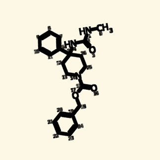 CNC(=O)NC1(c2ccccc2)CCN(C(=O)OCc2ccccc2)CC1